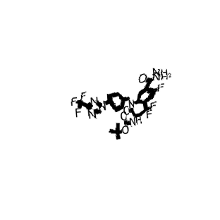 CC(C)(C)OC(=O)NC1CC(F)(F)c2cc(F)c(C(=O)NN)cc2N(Cc2ccc(-n3cnc(C(F)(F)F)n3)cc2)C1=O